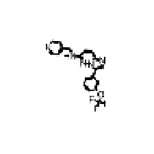 FC(F)(F)Oc1cccc(-c2cnc3ccc(NCc4ccncc4)nn23)c1